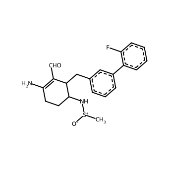 C[S+]([O-])NC1CCC(N)=C(C=O)C1Cc1cccc(-c2ccccc2F)c1